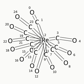 O=[C]=[Re](=[C]=O)(=[C]=O)(=[C]=O)(=[C]=O)(=[C]=O)(=[C]=O)(=[C]=O)(=[C]=O)(=[C]=O)(=[C]=O)=[C]=O